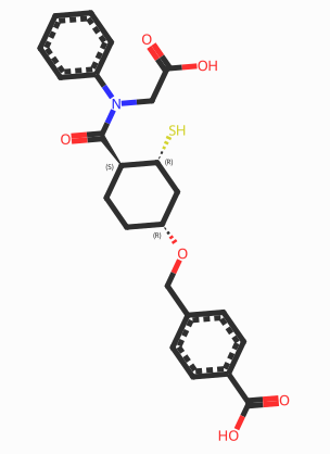 O=C(O)CN(C(=O)[C@@H]1CC[C@@H](OCc2ccc(C(=O)O)cc2)C[C@H]1S)c1ccccc1